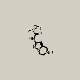 CNC(=O)Nc1cc2n(n1)CCNC2